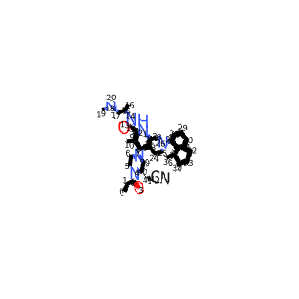 C=CC(=O)N1CCN(c2c(C)c(C(=O)NC(C)CN(C)C)nc3c2CCN(c2cccc4cccc(C)c24)C3)C[C@@H]1CC#N